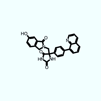 O=C1NC(=O)C(CN2Cc3ccc(O)cc3C2=O)(c2ccc(-c3cccc4cccnc34)cc2)N1